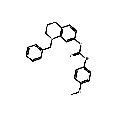 COc1ccc(NC(=O)Oc2ccc3c(c2)N(Cc2ccccc2)CCC3)cc1